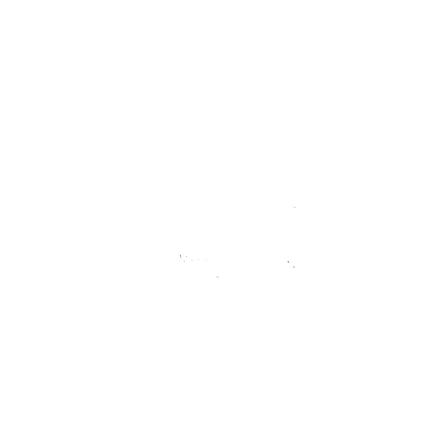 C=c1c(C)c(C)c2c(c1C)Oc1cc(C(=O)OC)ccc1N=2